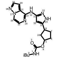 CCC(C)NC(=O)OC1CCC(c2cc(Nc3nccn4nccc34)n[nH]2)C1